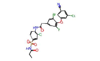 CCC(=O)NS(=O)(=O)c1ccc(NC(=O)Cc2cc(F)c(Oc3cc(Cl)cc(C#N)c3)c(Br)c2)c(Cl)c1